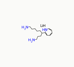 NCCCCCC(CCCN)C1=CC=CC=CN1.[LiH]